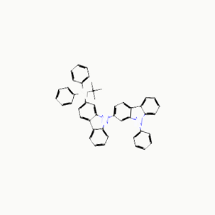 CC(C)(C)[Si](c1ccccc1)(c1ccccc1)c1ccc2c3ccccc3n(-c3ccc4c5ccccc5n(-c5ccccc5)c4c3)c2c1